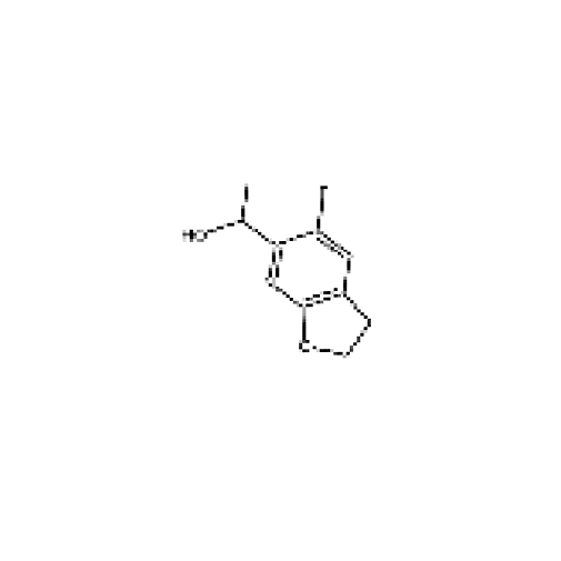 CC(O)c1nc2c(cc1F)CCO2